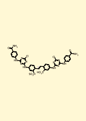 NC(=O)c1ccc(Nc2nc(Cl)nc(Nc3ccc(/C=C/c4ccc(Nc5nc(Cl)nc(Nc6ccc(C(N)=O)cc6)n5)cc4S(=O)(=O)O)c(S(=O)(=O)O)c3)n2)cc1